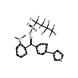 C[S+](C)c1ccccc1C(=O)c1ccc(-c2ccsc2)cc1.O=S(=O)([O-])C(F)(F)C(F)(F)C(F)(F)C(F)(F)F